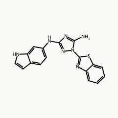 Nc1nc(Nc2ccc3cc[nH]c3c2)nn1-c1nc2ccccc2s1